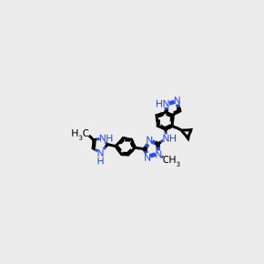 CC1=CNC(c2ccc(-c3nc(Nc4ccc5[nH]ncc5c4C4CC4)n(C)n3)cc2)N1